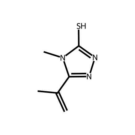 C=C(C)c1nnc(S)n1C